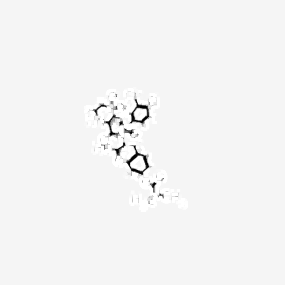 CN(C)C(=O)Oc1ccc(C[C@@H](C(=O)O)N(C(=O)C2CS(=O)(=O)CCN2)S(=O)(=O)c2ccc(Cl)c(Cl)c2)cc1